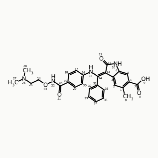 Cc1cc2c(cc1C(=O)O)NC(=O)/C2=C(\Nc1ccc(C(=O)NOCCN(C)C)cc1)c1ccccc1